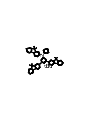 CC(C)(C)c1c(-c2ccc3c(c2)C(C)(C)c2ccccc2-3)cc(N(c2ccccc2)c2ccc3c(c2)C(C)(C)c2ccccc2-3)cc1-c1ccc2c(c1)C(C)(C)c1ccccc1-2